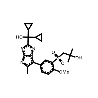 COc1ccc(-c2c(C)nc3sc(C(O)(C4CC4)C4CC4)nn23)cc1S(=O)(=O)CC(C)(C)O